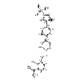 Cc1c(OCC2CCN(c3ccc(-c4nc(C(F)(F)F)c[nH]4)cn3)CC2)cccc1C(=O)O